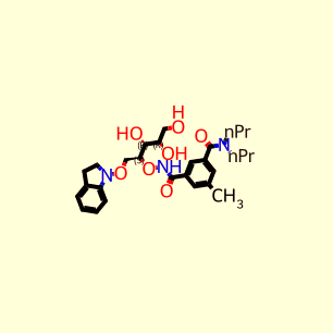 CCCN(CCC)C(=O)c1cc(C)cc(C(=O)NO[C@@H](CON2CCc3ccccc32)[C@H](O)[C@H](O)CO)c1